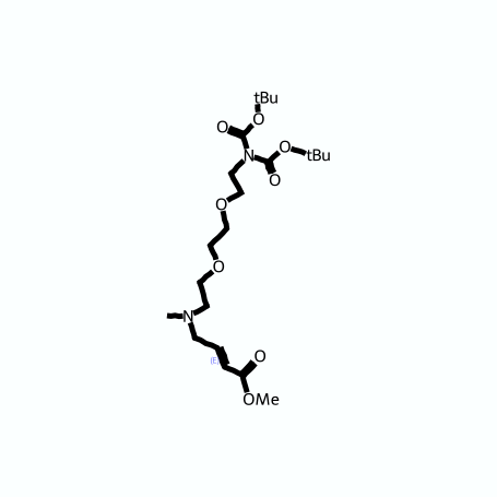 COC(=O)/C=C/CN(C)CCOCCOCCN(C(=O)OC(C)(C)C)C(=O)OC(C)(C)C